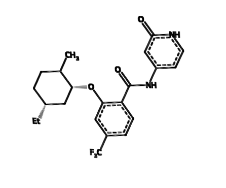 CC[C@@H]1CCC(C)[C@H](Oc2cc(C(F)(F)F)ccc2C(=O)Nc2cc[nH]c(=O)c2)C1